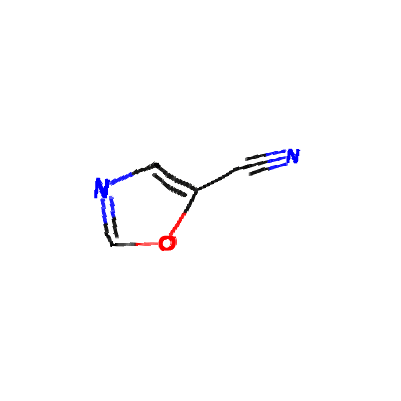 N#Cc1cnco1